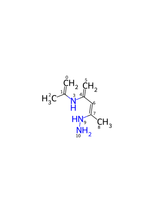 C=C(C)NC(=C)/C=C(/C)NN